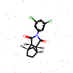 O=C1[C@@H]2[C@@H]3CC[C@@H](C3)[C@@H]2C(=O)N1c1cc(Cl)cc(Cl)c1